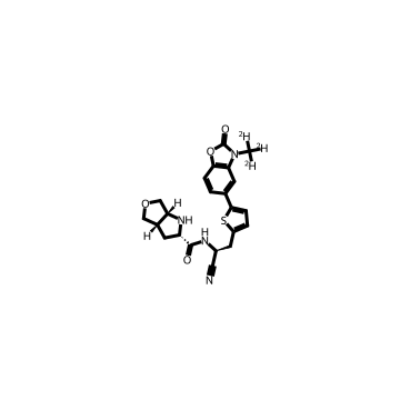 [2H]C([2H])([2H])n1c(=O)oc2ccc(-c3ccc(C[C@@H](C#N)NC(=O)[C@@H]4C[C@@H]5COC[C@@H]5N4)s3)cc21